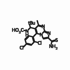 Cc1nc2nc(C(N)=S)cn2c(-c2ccc(Cl)cc2Cl)c1C(NC(=O)O)C(C)(C)C